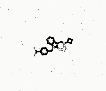 O=C(O)c1c(CNC2CCC2)c2ccccc2n1Cc1ccc(C(F)F)cc1